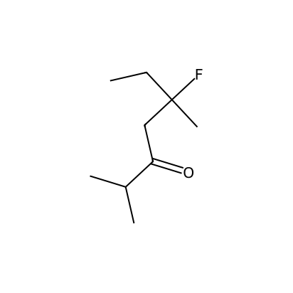 CCC(C)(F)CC(=O)C(C)C